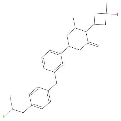 C=C1CC(c2cccc(Cc3ccc(CC(F)I)cc3)c2)CC(C)C1C1CC(C)(I)C1